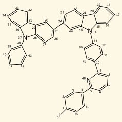 Ic1ccc(-c2cccc(-c3ccc(-n4c5ccccc5c5ccc(-c6ccc7c(c6)c6ccccc6n7-c6ccccc6)cc54)cc3)n2)cc1